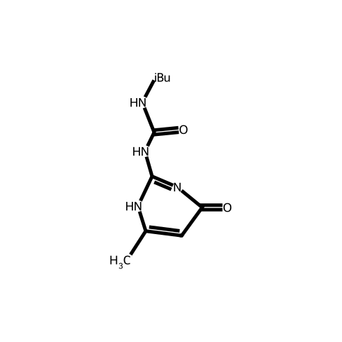 CCC(C)NC(=O)Nc1nc(=O)cc(C)[nH]1